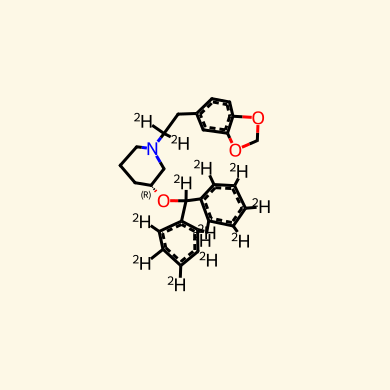 [2H]c1c([2H])c([2H])c(C([2H])(O[C@@H]2CCCN(C([2H])([2H])Cc3ccc4c(c3)OCO4)C2)c2c([2H])c([2H])c([2H])c([2H])c2[2H])c([2H])c1[2H]